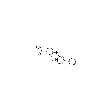 NC(=O)c1ccc(Nc2nccc(-c3ccccc3)n2)c(Cl)c1